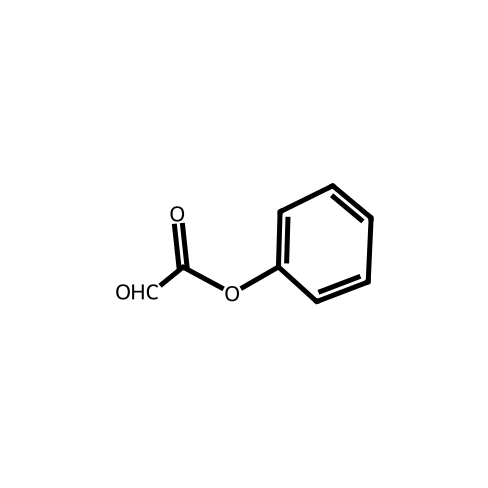 O=CC(=O)Oc1ccccc1